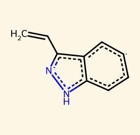 C=Cc1n[nH]c2cc[c]cc12